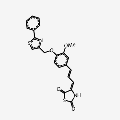 COc1cc(C=CC=C2NC(=O)SC2=O)ccc1OCc1csc(-c2ccccc2)n1